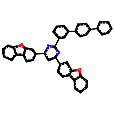 c1ccc(-c2ccc(-c3cccc(-c4nc(-c5ccc6c(c5)oc5ccccc56)cc(-c5ccc6c(c5)oc5ccccc56)n4)c3)cc2)cc1